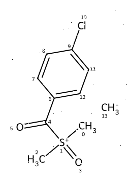 C[S+](C)(=O)C(=O)c1ccc(Cl)cc1.[CH3-]